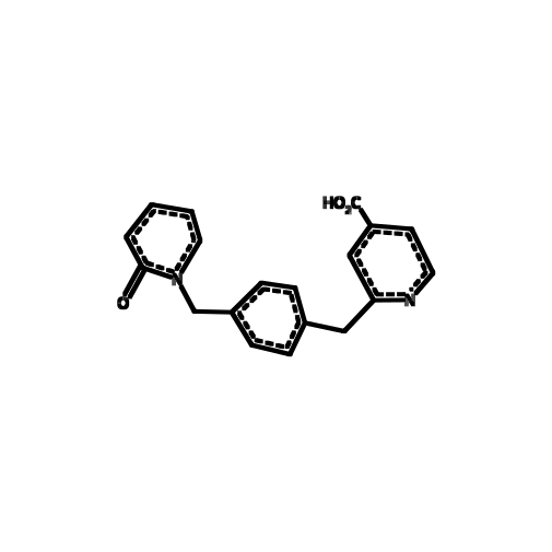 O=C(O)c1ccnc(Cc2ccc(Cn3ccccc3=O)cc2)c1